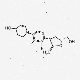 C=C1O[C@@H](CO)CN1c1ccc(N2C=CC(O)CC2)c(F)c1F